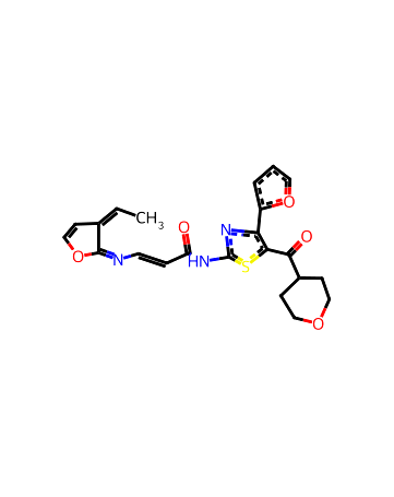 C/C=C1/C=CO/C1=N/C=C/C(=O)Nc1nc(-c2ccco2)c(C(=O)C2CCOCC2)s1